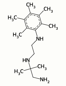 Cc1c(C)c(C)c(NCCNC(C)(C)CN)c(C)c1C